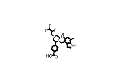 COc1cc(C)c2[nH]ccc2c1CN1CCN(CC(F)C(F)F)CC1c1ccc(C(=O)O)cc1